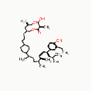 C=C(CO)CC(CCCC1CCC(C(C)CCC(C)C(=C)/C=C\C(=C\C(C)C)c2ccc(O)c(CC)c2)CC1)COC(=O)C(=C)CO